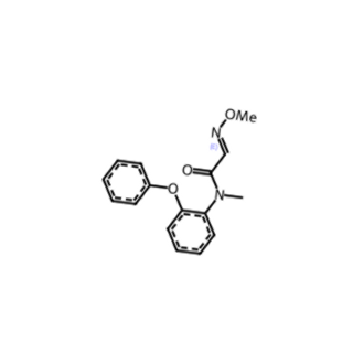 CO/N=C/C(=O)N(C)c1ccccc1Oc1ccccc1